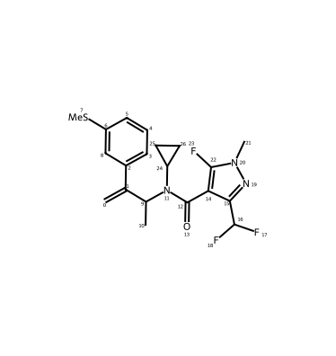 C=C(c1cccc(SC)c1)C(C)N(C(=O)c1c(C(F)F)nn(C)c1F)C1CC1